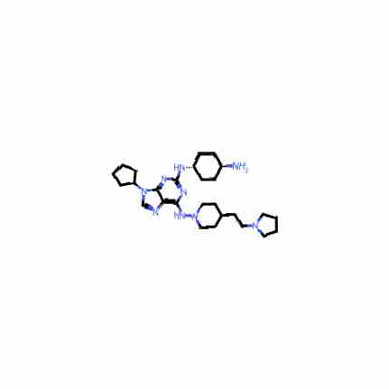 N[C@H]1CC[C@H](Nc2nc(NN3CCC(CCN4CCCC4)CC3)c3ncn(C4CCCC4)c3n2)CC1